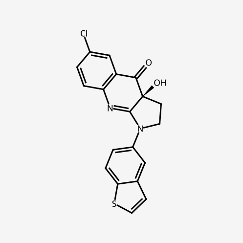 O=C1c2cc(Cl)ccc2N=C2N(c3ccc4sccc4c3)CC[C@@]12O